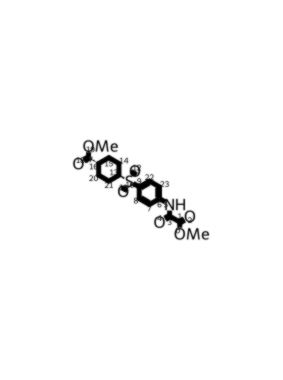 COC(=O)C(=O)Nc1ccc(S(=O)(=O)[C@H]2CC[C@@H](C(=O)OC)CC2)cc1